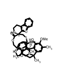 COc1c(C)cc2c(c1O)[C@@H]1C3[C@@H]4SC[C@]5(NCCc6c5oc5ccccc65)C(=O)OC[C@@H](c5c6c(c(C)c(OC(C)=O)c54)OCO6)N3C3(C)CN1C2(C)C3